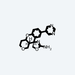 NC1=N[C@@]2(CO1)c1cc(-c3cncnc3)ccc1OC1CCOC[C@H]12